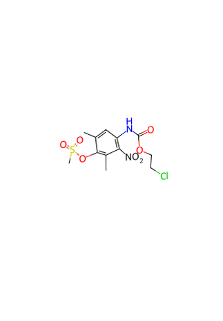 Cc1cc(NC(=O)OCCCl)c([N+](=O)[O-])c(C)c1OS(C)(=O)=O